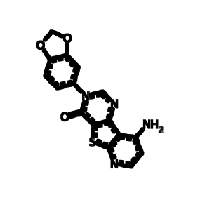 Nc1ccnc2sc3c(=O)n(-c4ccc5c(c4)OCO5)cnc3c12